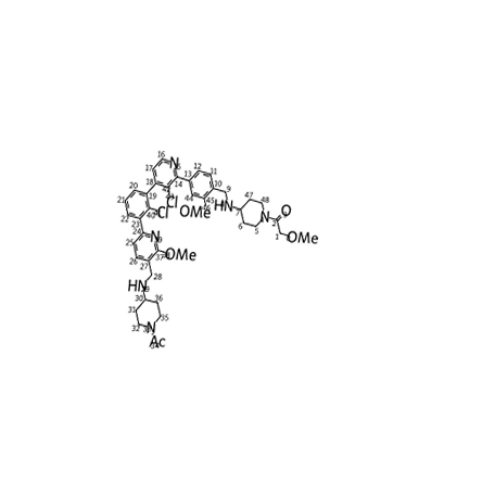 COCC(=O)N1CCC(NCc2ccc(-c3nccc(-c4cccc(-c5ccc(CNC6CCN(C(C)=O)CC6)c(OC)n5)c4Cl)c3Cl)cc2OC)CC1